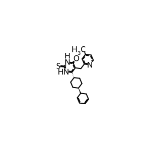 Cc1ccnc(Cc2c(=O)[nH]c(=S)[nH]c2[C@H]2CC[C@H](C3C=CC=CC3)CC2)c1